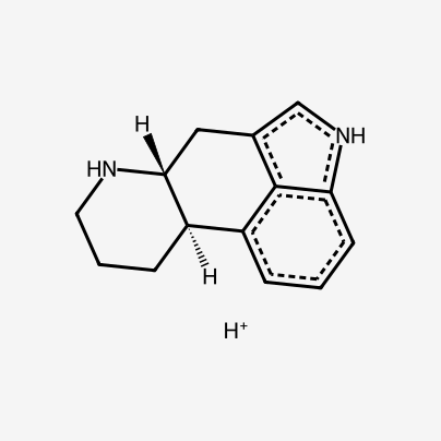 [H+].c1cc2c3c(c[nH]c3c1)C[C@H]1NCCC[C@H]21